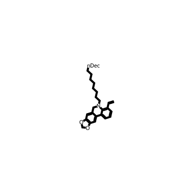 C=Cc1cccc2c1N(CCCCCCCCCCCCCCCCCC)Cc1cc3c(cc1-2)OCO3